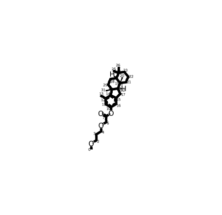 COCCCOCC(=O)Oc1cc(C)c2c(c1)C[C@@H]1[C@@]3(C)CCCC(C)(C)[C@@H]3CC[C@@]21C